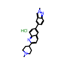 CN1CCC(c2ccc3cc(-c4ccc5nn(C)cc5c4)ccc3n2)CC1.Cl